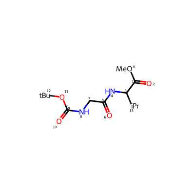 COC(=O)C(NC(=O)CNC(=O)OC(C)(C)C)C(C)C